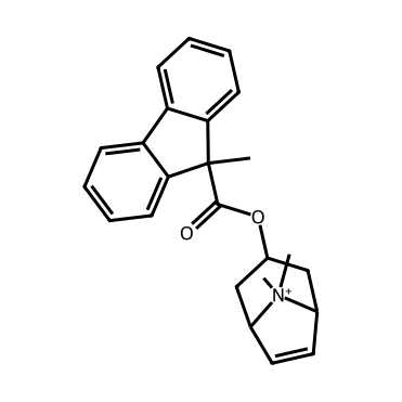 CC1(C(=O)OC2CC3C=CC(C2)[N+]3(C)C)c2ccccc2-c2ccccc21